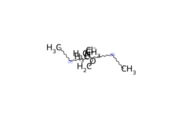 C=CCOC(CCCCCCCC/C=C\CCCCCCCC)C(CCCCCCCC/C=C\CCCCCCCC)C[N+](C)(C)C.[Cl-]